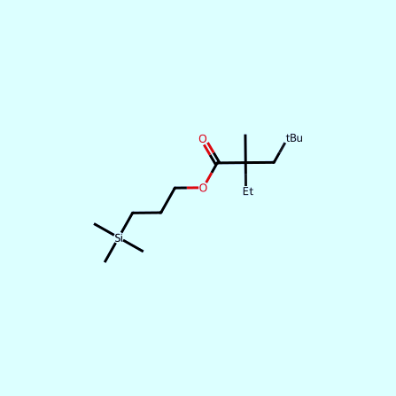 CCC(C)(CC(C)(C)C)C(=O)OCCC[Si](C)(C)C